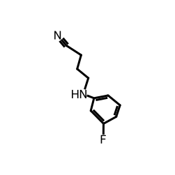 N#CCCCNc1cccc(F)c1